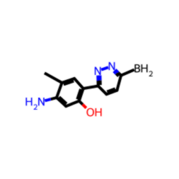 Bc1ccc(-c2cc(C)c(N)cc2O)nn1